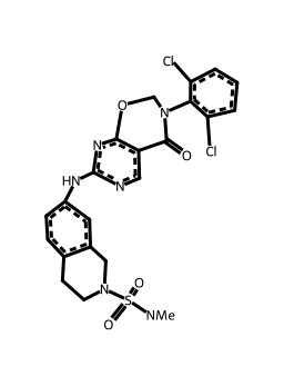 CNS(=O)(=O)N1CCc2ccc(Nc3ncc4c(n3)OCN(c3c(Cl)cccc3Cl)C4=O)cc2C1